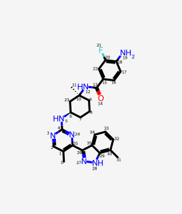 Cc1cnc(N[C@@H]2CCC[C@](C)(NC(=O)c3ccc(N)c(F)c3)C2)nc1-c1n[nH]c2c(C)cccc12